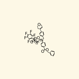 O=C(OCc1ccccc1)c1ccc(N(Cc2ccc(C3=CCOCC3)cc2)C(=O)[C@H]2CCN2S(=O)(=O)c2c(F)c(F)c(F)c(F)c2F)cc1